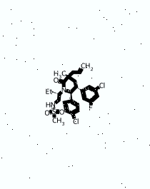 C=CC[C@@]1(C)C[C@H](c2cc(F)cc(Cl)c2)[C@@H](c2ccc(Cl)cc2)N([C@@H](CC)CNS(C)(=O)=O)C1=O